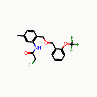 Cc1ccc(COCc2ccccc2OC(F)(F)F)c(NC(=O)CCl)c1